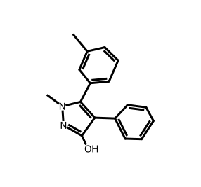 Cc1cccc(-c2c(-c3ccccc3)c(O)nn2C)c1